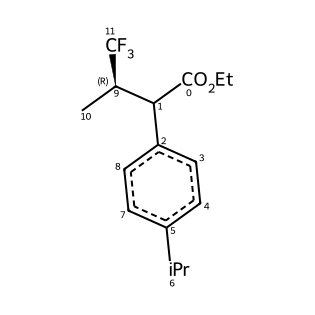 CCOC(=O)C(c1ccc(C(C)C)cc1)[C@@H](C)C(F)(F)F